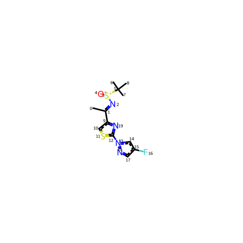 C/C(=N\[S@+]([O-])C(C)(C)C)c1csc(-n2cc(F)cn2)n1